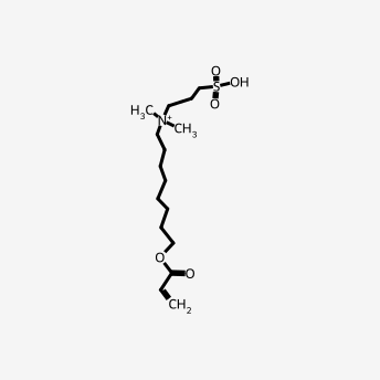 C=CC(=O)OCCCCCCCC[N+](C)(C)CCCS(=O)(=O)O